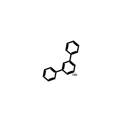 Br.c1ccc(-c2cccc(-c3ccccc3)c2)cc1